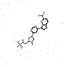 CC1CN(c2cc(-c3cnc4ccc(C(F)F)nn34)ncn2)CC1CNS(C)(=O)=O